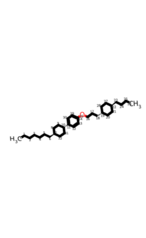 CCCCCCC[C@H]1CC[C@H](c2ccc(OCCC[C@H]3CC[C@H](CCCC)CC3)cc2)CC1